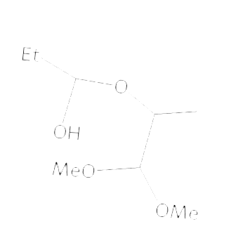 CCC(O)OC(C)C(OC)OC